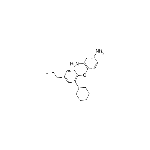 CCCc1ccc(Oc2ccc(N)cc2N)c(C2CCCCC2)c1